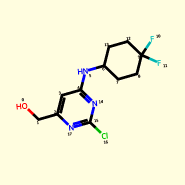 OCc1cc(NC2CCC(F)(F)CC2)nc(Cl)n1